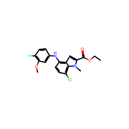 CCOC(=O)c1cc2c(Nc3ccc(F)c(OC)c3)ccc(Cl)c2n1C